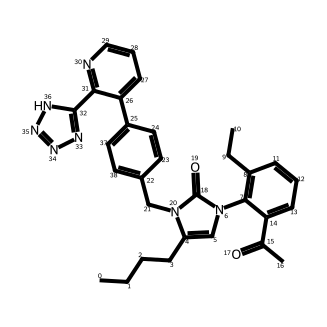 CCCCc1cn(-c2c(CC)cccc2C(C)=O)c(=O)n1Cc1ccc(-c2cccnc2-c2nnn[nH]2)cc1